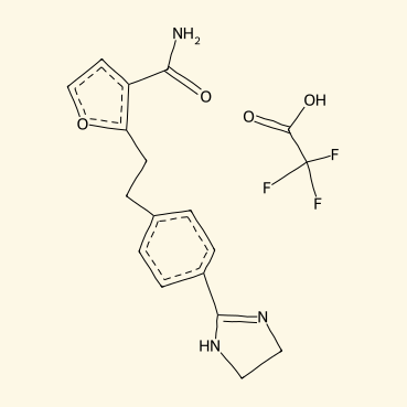 NC(=O)c1ccoc1CCc1ccc(C2=NCCN2)cc1.O=C(O)C(F)(F)F